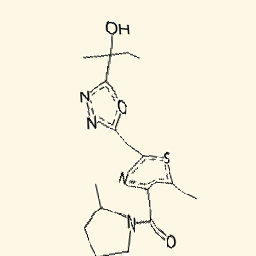 Cc1sc(-c2nnc(C(C)(C)O)o2)nc1C(=O)N1CCCC1C